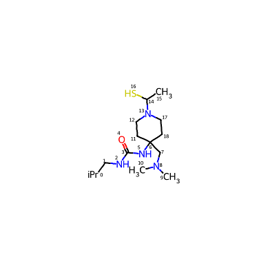 CC(C)CNC(=O)NC1(CN(C)C)CCN(C(C)S)CC1